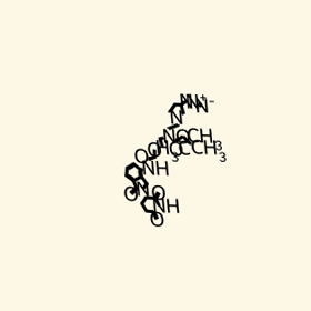 CC(C)(C)OC(=O)N(CCOCC(=O)Nc1cccc2c1CN(C1CCC(=O)NC1=O)C2=O)CCN1CCC(N=[N+]=[N-])C1